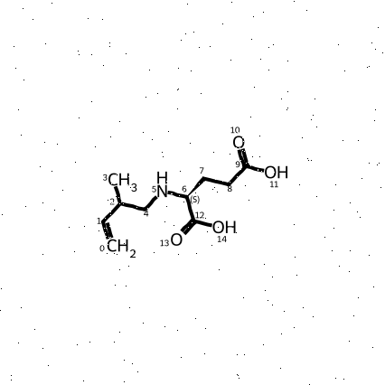 C=CC(C)CN[C@@H](CCC(=O)O)C(=O)O